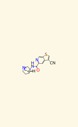 N#Cc1csc2cnc(C(=O)N[C@H]3CN4CCC3CC4)cc12